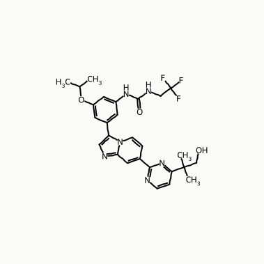 CC(C)Oc1cc(NC(=O)NCC(F)(F)F)cc(-c2cnc3cc(-c4nccc(C(C)(C)CO)n4)ccn23)c1